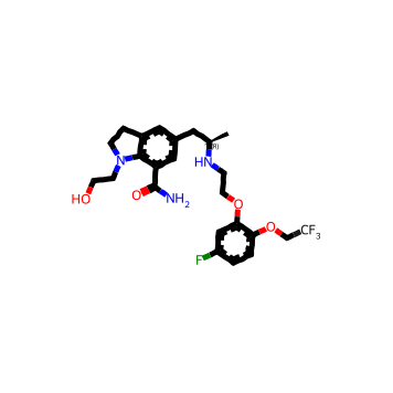 C[C@H](Cc1cc2c(c(C(N)=O)c1)N(CCO)CC2)NCCOc1cc(F)ccc1OCC(F)(F)F